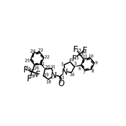 O=C(N1CC[C@@H](c2ccccc2C(F)(F)F)C1)N1CC[C@@H](c2ccccc2C(F)(F)F)C1